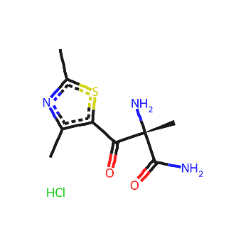 Cc1nc(C)c(C(=O)[C@](C)(N)C(N)=O)s1.Cl